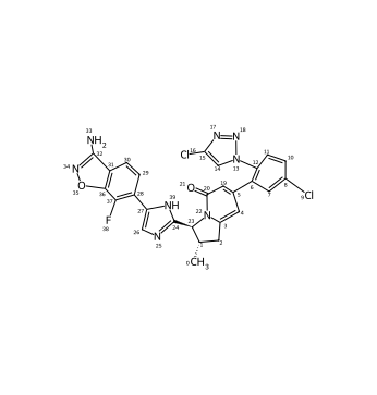 C[C@H]1Cc2cc(-c3cc(Cl)ccc3-n3cc(Cl)nn3)cc(=O)n2[C@@H]1c1ncc(-c2ccc3c(N)noc3c2F)[nH]1